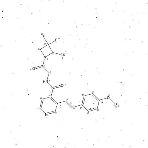 N#CC1N(C(=O)CNC(=O)c2ccncc2/C=C/c2ccc(OC(F)(F)F)cc2)CC1(F)F